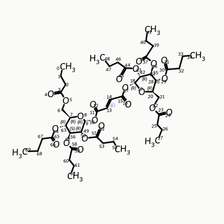 CCCC(=O)OC[C@H]1O[C@H](OC(=O)/C=C/C(=O)O[C@H]2O[C@H](COC(=O)CCC)[C@@H](OC(=O)CCC)[C@H](OC(=O)CCC)[C@H]2OC(=O)CCC)[C@H](OC(=O)CCC)[C@@H](OC(=O)CCC)[C@@H]1OC(=O)CCC